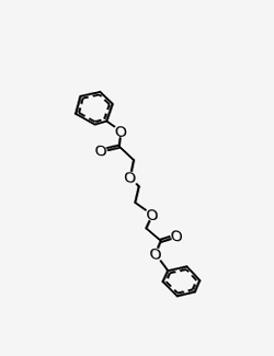 O=C(COCCOCC(=O)Oc1ccccc1)Oc1ccccc1